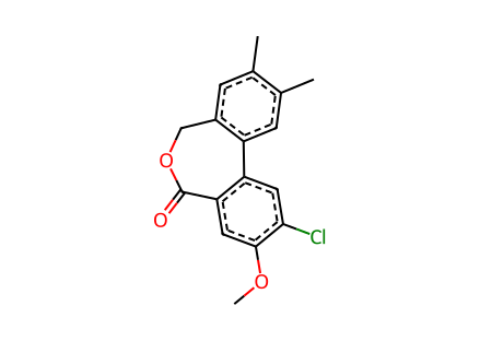 COc1cc2c(cc1Cl)-c1cc(C)c(C)cc1COC2=O